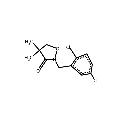 CC1(C)CON(Cc2cc(Cl)ccc2Cl)C1=O